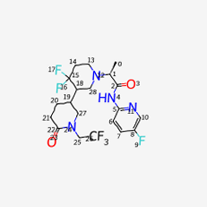 C[C@@H](C(=O)Nc1ccc(F)cn1)N1CCC(F)(F)C(C2CCC(=O)N(CC(F)(F)F)C2)C1